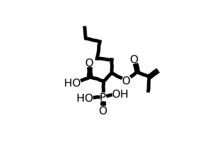 C=C(C)C(=O)OC(CCCCC)C(C(=O)O)P(=O)(O)O